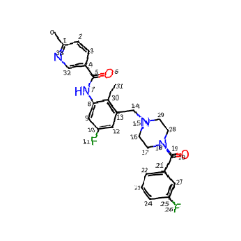 Cc1ccc(C(=O)Nc2cc(F)cc(CN3CCN(C(=O)c4cccc(F)c4)CC3)c2C)cn1